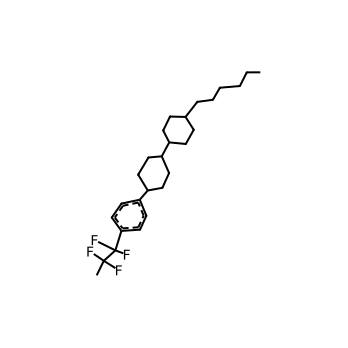 CCCCCCC1CCC(C2CCC(c3ccc(C(F)(F)C(C)(F)F)cc3)CC2)CC1